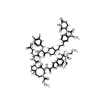 CCOP(=O)(OCC)C(F)(F)c1ccc2sc(C(=O)N[C@H]3CN(C(=O)OC)CC[C@H]4CC[C@@H](C(=O)N[C@@H](CCC(N)=O)C(=O)N[C@@H](Cc5ccc(F)c(F)c5)C(=O)N5CCC(CCCc6ccc7c(c6)n(C)c(=O)n7C6CCC(=O)NC6=O)CC5)N4C3=O)cc2c1